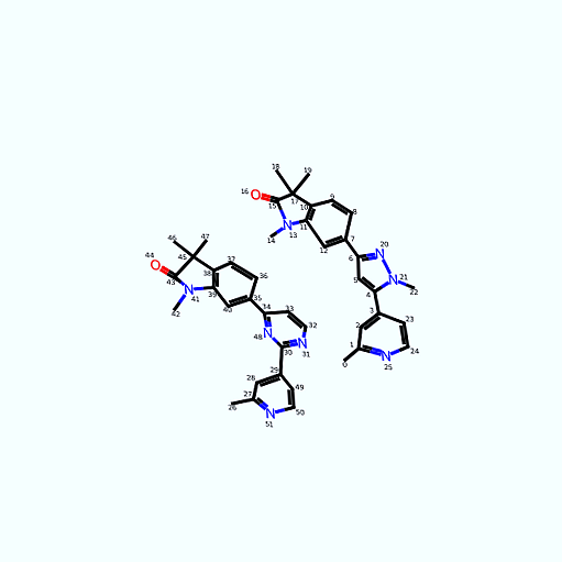 Cc1cc(-c2cc(-c3ccc4c(c3)N(C)C(=O)C4(C)C)nn2C)ccn1.Cc1cc(-c2nccc(-c3ccc4c(c3)N(C)C(=O)C4(C)C)n2)ccn1